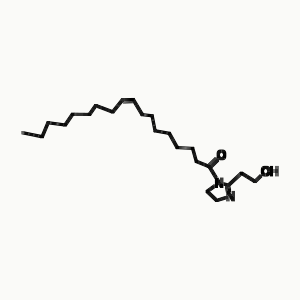 CCCCCCCC/C=C\CCCCCCCC(=O)N1CCN=C1CCO